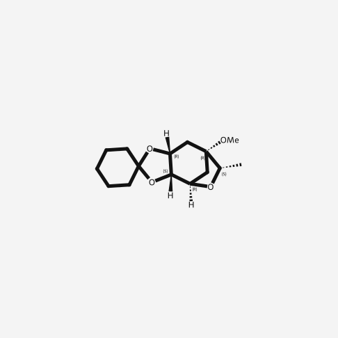 CO[C@@]12C[C@@H](O[C@H]1C)[C@@H]1OC3(CCCCC3)O[C@@H]1C2